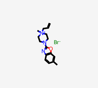 C=CC[N+]1(C)CCN(c2nc3ccc(C)cc3o2)CC1.[Br-]